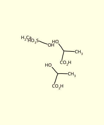 CC(O)C(=O)O.CC(O)C(=O)O.O=S(=O)(O)O.[CaH2]